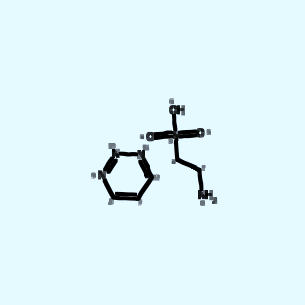 NCCS(=O)(=O)O.c1cnnnc1